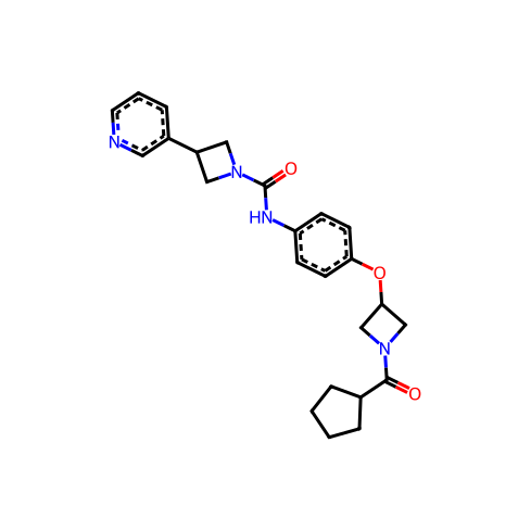 O=C(Nc1ccc(OC2CN(C(=O)C3CCCC3)C2)cc1)N1CC(c2cccnc2)C1